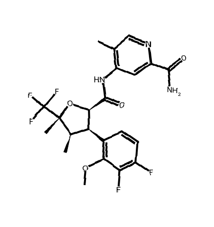 COc1c([C@H]2[C@@H](C)[C@](C)(C(F)(F)F)O[C@H]2C(=O)Nc2cc(C(N)=O)ncc2C)ccc(F)c1F